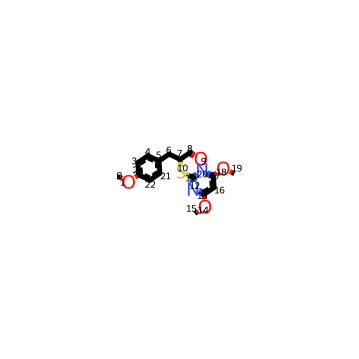 COc1ccc(CC(C=O)Sc2nc(OC)cc(OC)n2)cc1